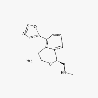 CNC[C@H]1OCCc2c(-c3cnco3)cccc21.Cl